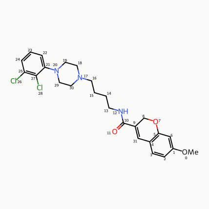 COc1ccc2c(c1)OCC(C(=O)NCCCCN1CCN(c3cccc(Cl)c3Cl)CC1)=C2